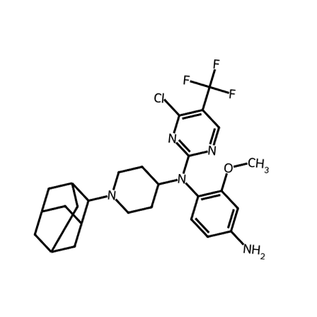 COc1cc(N)ccc1N(c1ncc(C(F)(F)F)c(Cl)n1)C1CCN(C2C3CC4CC(C3)CC2C4)CC1